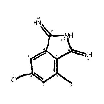 Cc1cc(Cl)cc2c1C(=N)NC2=N